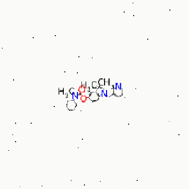 CN(C(=O)Oc1ccc2c(c1)C(C)(C)CN2Cc1cccnc1)C1CCCCC1